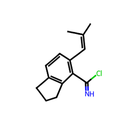 CC(C)=Cc1ccc2c(c1C(=N)Cl)CCC2